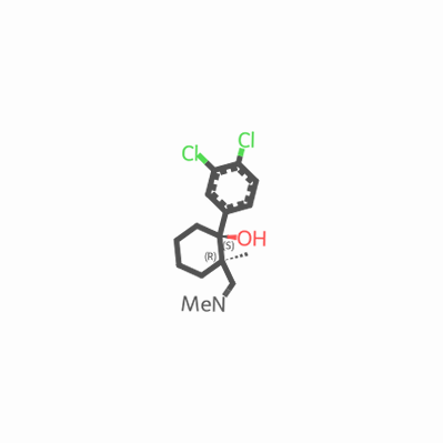 CNC[C@@]1(C)CCCC[C@]1(O)c1ccc(Cl)c(Cl)c1